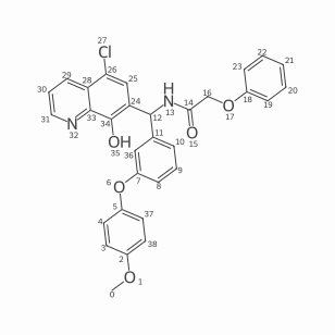 COc1ccc(Oc2cccc(C(NC(=O)COc3ccccc3)c3cc(Cl)c4cccnc4c3O)c2)cc1